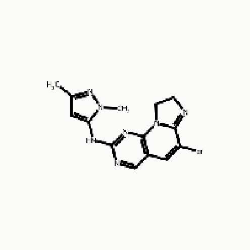 Cc1cc(Nc2ncc3c(n2)N2CCN=C2C(Br)=C3)n(C)n1